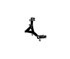 CCN1CC1OC